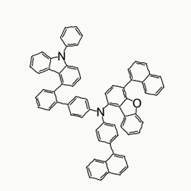 c1ccc(-n2c3ccccc3c3c(-c4ccccc4-c4ccc(N(c5ccc(-c6cccc7ccccc67)cc5)c5ccc(-c6cccc7ccccc67)c6oc7ccccc7c56)cc4)cccc32)cc1